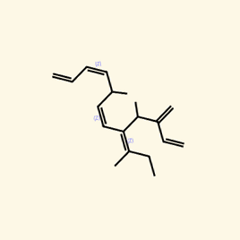 C=C/C=C\C(C)/C=C\C(=C(/C)CC)C(C)C(=C)C=C